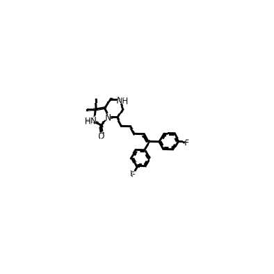 CC1(C)NC(=O)N2C(CCCC=C(c3ccc(F)cc3)c3ccc(F)cc3)CNCC21